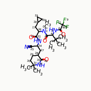 CN(C(=O)C(NC(=O)C(F)(F)F)C(C)(C)C)C(CC1CC1)C(=O)NC(C#N)CC1CCC(C)(C)NC1=O